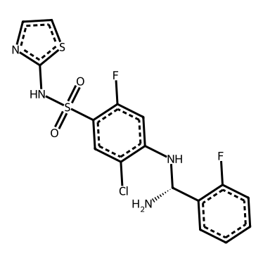 N[C@H](Nc1cc(F)c(S(=O)(=O)Nc2nccs2)cc1Cl)c1ccccc1F